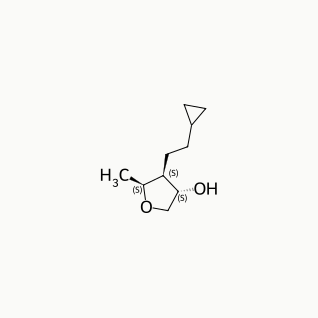 C[C@@H]1OC[C@@H](O)[C@@H]1CCC1CC1